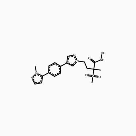 Cn1nccc1-c1ccc(-c2cnn(CCC(C)(C(=O)NO)S(C)(=O)=O)c2)cc1